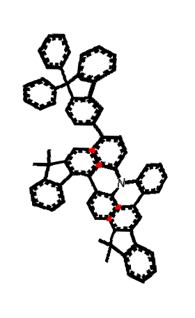 CC1(C)c2ccccc2-c2cc(-c3ccccc3N(c3ccc(-c4ccc5c(c4)-c4ccccc4C5(c4ccccc4)c4ccccc4)cc3)c3ccccc3-c3cccc4c3-c3ccccc3C4(C)C)ccc21